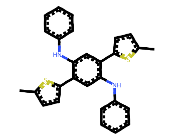 Cc1ccc(-c2cc(Nc3ccccc3)c(-c3ccc(C)s3)cc2Nc2ccccc2)s1